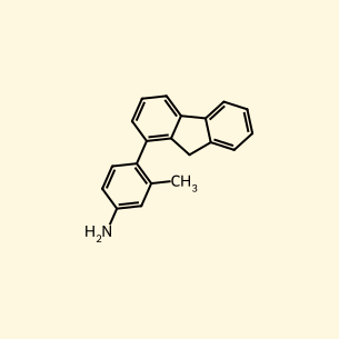 Cc1cc(N)ccc1-c1cccc2c1Cc1ccccc1-2